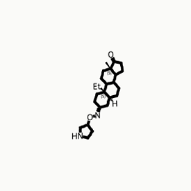 CC[C@]12CCC(=NOC3CCNC3)C[C@@H]1CCC1C2CC[C@]2(C)C(=O)CCC12